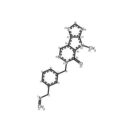 C=NCc1cccc(Cn2ncc3c4scnc4n(C)c3c2=O)c1